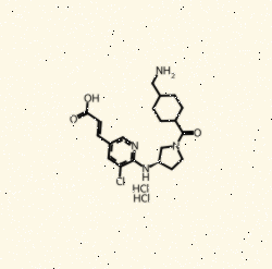 Cl.Cl.NCC1CCC(C(=O)N2CC[C@@H](Nc3ncc(C=CC(=O)O)cc3Cl)C2)CC1